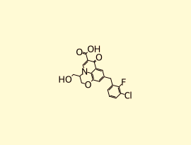 O=C(O)c1cn2c3c(cc(Cc4cccc(Cl)c4F)cc3c1=O)OCC2CO